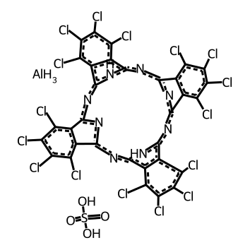 Clc1c(Cl)c(Cl)c2c(c1Cl)-c1nc-2nc2[nH]c(nc3nc(nc4[nH]c(n1)c1c(Cl)c(Cl)c(Cl)c(Cl)c41)-c1c(Cl)c(Cl)c(Cl)c(Cl)c1-3)c1c(Cl)c(Cl)c(Cl)c(Cl)c21.O=S(=O)(O)O.[AlH3]